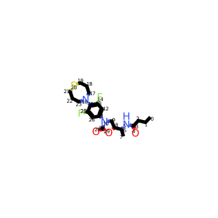 CCCC(=O)NC(C)C1CN(c2cc(F)c(N3CCCSCCC3)c(F)c2)C(=O)O1